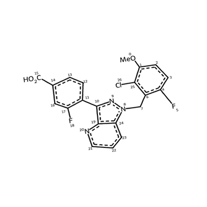 COc1ccc(F)c(Cn2nc(-c3ccc(C(=O)O)cc3F)c3ncccc32)c1Cl